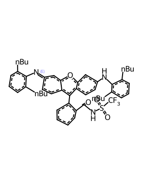 CCCCc1cccc(CCCC)c1/N=c1\ccc2c(-c3ccccc3C(=O)NS(=O)(=O)C(F)(F)F)c3ccc(Nc4c(CCCC)cccc4CCCC)cc3oc-2c1